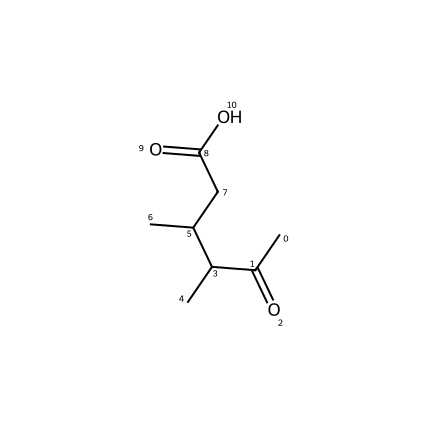 CC(=O)C(C)C(C)CC(=O)O